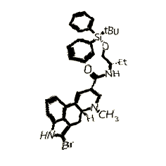 CC[C@@H](CO[Si](c1ccccc1)(c1ccccc1)C(C)(C)C)NC(=O)[C@@H]1C=C2c3cccc4[nH]c(Br)c(c34)C[C@H]2N(C)C1